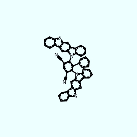 N#Cc1cc(C#N)c(-n2c3ccccc3c3cc4sc5ccccc5c4cc32)c(-c2ccccc2)c1-n1c2ccccc2c2cc3sc4ccccc4c3cc21